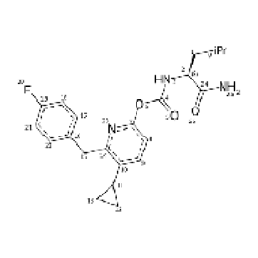 CC(C)C[C@H](NC(=O)Oc1ccc(C2CC2)c(Cc2ccc(F)cc2)n1)C(N)=O